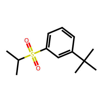 CC(C)S(=O)(=O)c1cccc(C(C)(C)C)c1